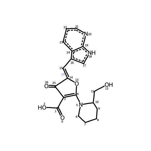 O=C(O)C1=C(N2CCCCC2CO)O/C(=C\c2c[nH]c3ncccc23)C1=O